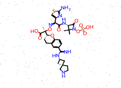 CC1(C)[C@H](NC(=O)/C(=N\O[C@](C)(C(=O)O)[C@H]2CCc3cc(C(=N)N[C@H]4C[C@@]5(CCNC5)C4)ccc3O2)c2csc(N)n2)C(=O)N1OS(=O)(=O)O